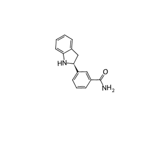 NC(=O)c1cccc([C@@H]2Cc3ccccc3N2)c1